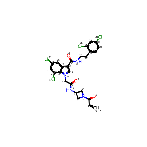 C=CC(=O)N1CC(NC(=O)Cn2cc(C(=O)NCCc3ccc(Cl)cc3Cl)c3cc(Cl)cc(Cl)c32)C1